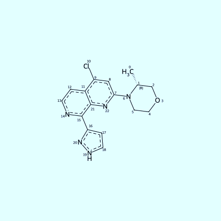 C[C@@H]1COCCN1c1cc(Cl)c2ccnc(-c3cc[nH]n3)c2n1